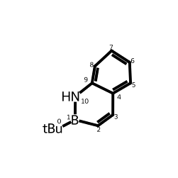 CC(C)(C)B1C=Cc2ccccc2N1